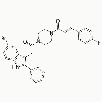 O=C(C=Cc1ccc(F)cc1)N1CCN(C(=O)Cc2c(-c3ccccc3)[nH]c3ccc(Br)cc23)CC1